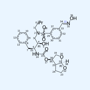 CC(C)CN(C[C@@H](O)[C@H](Cc1ccccc1)NC(=O)O[C@H]1CO[C@H]2OCCC21)S(=O)(=O)c1cccc(/C=N/O)c1